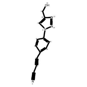 N#CC#Cc1ccc(-n2cc(CO)nn2)cc1